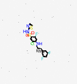 CN[C@H](CNc1cc(F)c(S(=O)(=O)Nc2nccs2)cc1Cl)Cc1cc(F)cc(F)c1